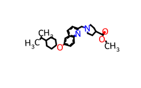 CCOC(=O)C1CCN(Cc2ccc3cc(OC4CCC(C(C)C)CC4)ccc3n2)CC1